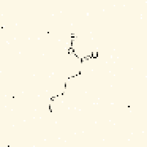 C=CCCCC(=O)OBr